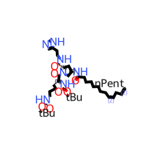 CCCCC/C=C\C/C=C\CCCCCCCC(=O)N[C@H]1C[C@@H](C(=O)NCCc2cnc[nH]2)N(C(=O)[C@@H](CCCCNC(=O)OC(C)(C)C)NC(=O)OC(C)(C)C)C1